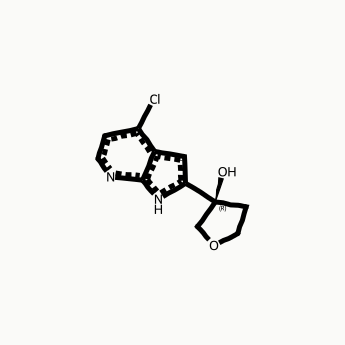 O[C@@]1(c2cc3c(Cl)ccnc3[nH]2)CCOC1